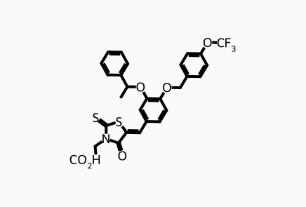 CC(Oc1cc(/C=C2\SC(=S)N(CC(=O)O)C2=O)ccc1OCc1ccc(OC(F)(F)F)cc1)c1ccccc1